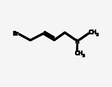 CN(C)C/C=C/CBr